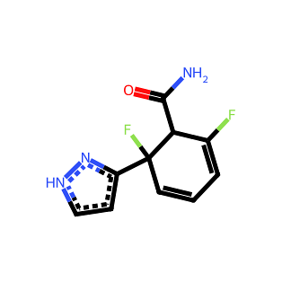 NC(=O)C1C(F)=CC=CC1(F)c1cc[nH]n1